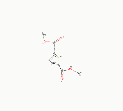 CC(C)OC(=O)c1ccc(C(=O)OC(C)C)s1